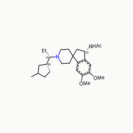 CC[C@@H]([C@@H]1CCC(C)C1)N1CCC2(CC1)C[C@H](NC(C)=O)c1cc(OC)c(OC)cc12